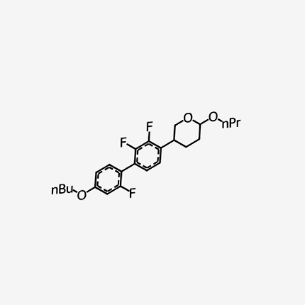 CCCCOc1ccc(-c2ccc(C3CCC(OCCC)OC3)c(F)c2F)c(F)c1